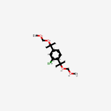 CCOCOC(C)(C)c1ccc(C(C)(C)OCOCC)c(Br)c1